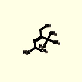 CC(C)N=C(CO)[Si](C)(C)C